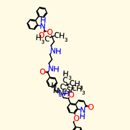 CC(C)(CCNCCCNC(=O)c1ccc(CNCC(O[Si](C)(C)C(C)(C)C)c2ccc(OCc3ccccc3)c3[nH]c(=O)ccc23)cc1)OC(=O)Nc1ccccc1-c1ccccc1